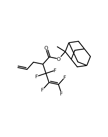 C=CCC(C(=O)OC1(C)C2CC3CC(C2)CC1C3)C(F)(F)C(F)=C(F)F